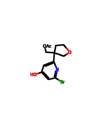 CC(=O)OCC1(c2cc(O)cc(Br)n2)CCOC1